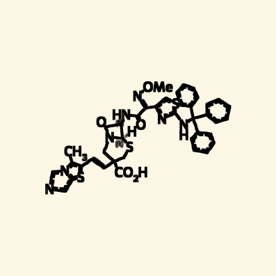 CON=C(C(=O)N[C@@H]1C(=O)N2CC(C=Cc3sc4cncn4c3C)(C(=O)O)CS[C@H]12)c1csc(NC(c2ccccc2)(c2ccccc2)c2ccccc2)n1